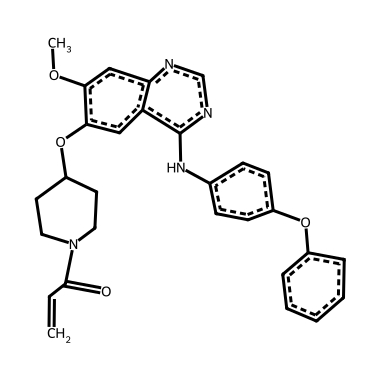 C=CC(=O)N1CCC(Oc2cc3c(Nc4ccc(Oc5ccccc5)cc4)ncnc3cc2OC)CC1